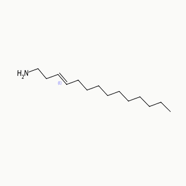 CCCCCCCCCC/C=C/CCN